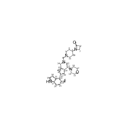 O=C1CCN1C1CCN(CN2C=C(N3CCOCC3)c3cc(-c4c(F)ccc5[nH]ccc45)sc3C2)CC1